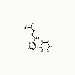 CC(O)CCNc1sccc1C1CCCCC1